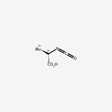 CC[C@H](C)[C@H](N=C=O)C(=O)O